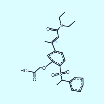 CCN(CC)C(=O)/C=C(\C)c1ccc(S(=O)(=O)C(C)c2ccccc2)c(OCC(=O)O)c1